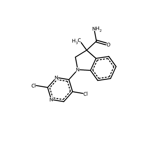 CC1(C(N)=O)CN(c2nc(Cl)ncc2Cl)c2ccccc21